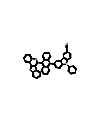 N#Cc1ccc2c(c1)c1cc(-c3c4ccccc4c(-c4oc5ccccc5c5nc6ccccc6c4-5)c4ccccc34)ccc1n2-c1ccccc1